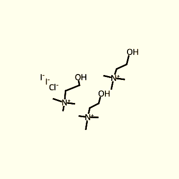 C[N+](C)(C)CCO.C[N+](C)(C)CCO.C[N+](C)(C)CCO.[Cl-].[I-].[I-]